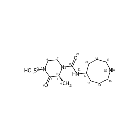 C[C@H]1C(=O)N(S(=O)(=O)O)CCN1C(=O)NC1CCCNCCC1